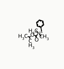 CC(C)OC(=O)[N+](C)(C)Cc1ccccc1